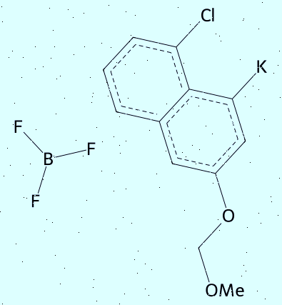 COCOc1c[c]([K])c2c(Cl)cccc2c1.FB(F)F